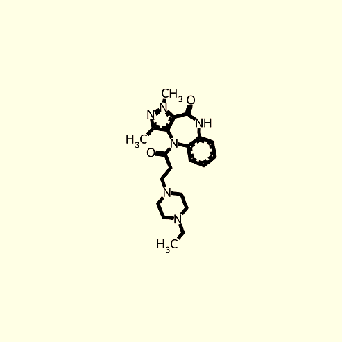 CCN1CCN(CCC(=O)N2c3ccccc3NC(=O)c3c2c(C)nn3C)CC1